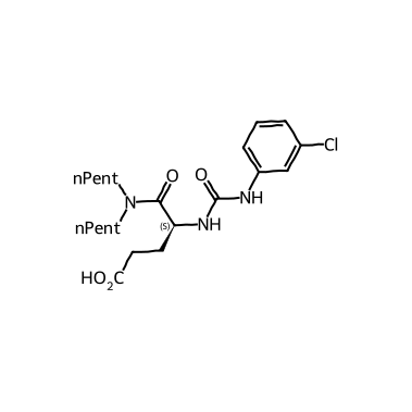 CCCCCN(CCCCC)C(=O)[C@H](CCC(=O)O)NC(=O)Nc1cccc(Cl)c1